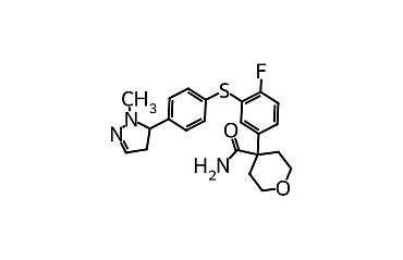 CN1N=CCC1c1ccc(Sc2cc(C3(C(N)=O)CCOCC3)ccc2F)cc1